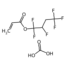 C=CC(=O)OC(F)(F)C(F)CC(F)(F)F.O=C(O)O